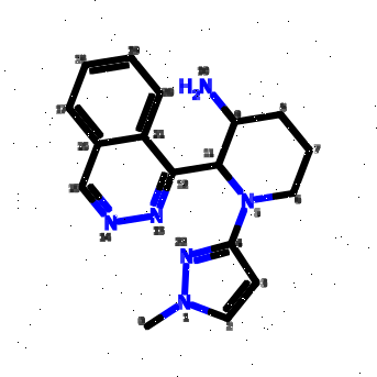 Cn1ccc(N2CCCC(N)C2c2nncc3ccccc23)n1